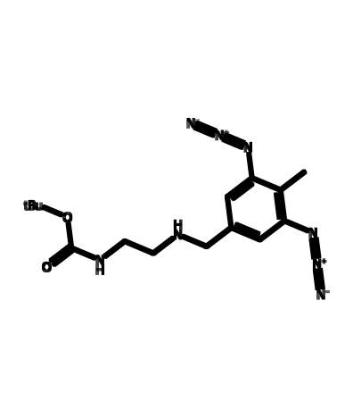 Cc1c(N=[N+]=[N-])cc(CNCCNC(=O)OC(C)(C)C)cc1N=[N+]=[N-]